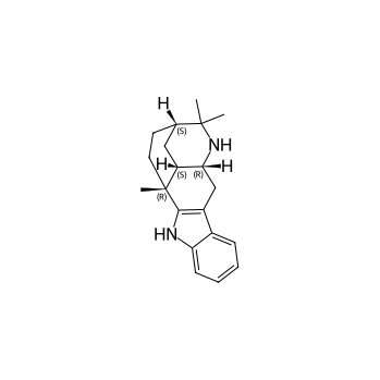 CC1(C)N[C@@H]2Cc3c([nH]c4ccccc34)[C@]3(C)CC[C@H]1C[C@H]23